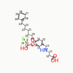 O=C(O)C(F)(F)F.O=C(O)CCNCc1ccc(OCCCCCCc2ccccc2)cc1